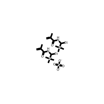 C=C(C)C(=O)NC(CC)[N+](C)(C)C.C=C(C)C(=O)NC(CC)[N+](C)(C)C.O=S(=O)([O-])[O-]